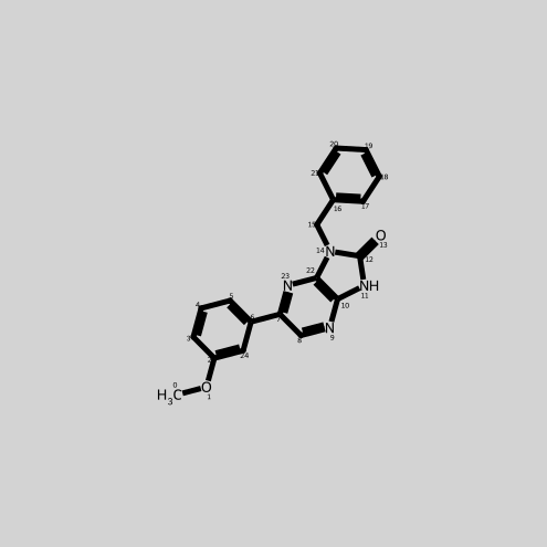 COc1cccc(-c2cnc3[nH]c(=O)n(Cc4ccccc4)c3n2)c1